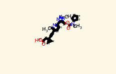 Cc1nc(-c2nnn(C)c2COC(=O)N(C)C2CCCC2)ccc1C#CC1(CC(=O)O)CC1